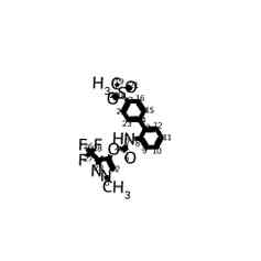 Cn1cc(OC(=O)Nc2ccccc2-c2ccc(S(C)(=O)=O)cc2)c(C(F)(F)F)n1